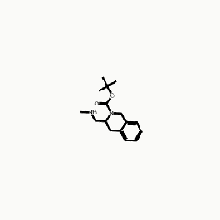 CNCC1Cc2ccccc2CN1C(=O)OC(C)(C)C